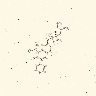 CCC(C)OC(C)(C)C(C)(C)Oc1ccc2cc(-c3ccccc3)c(=O)n(C(C)C)c2c1